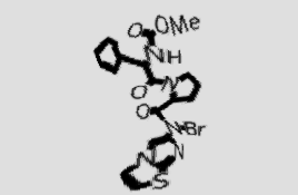 COC(=O)NC(C(=O)N1CCCC1C(=O)N(Br)c1cn2ccsc2n1)c1ccccc1